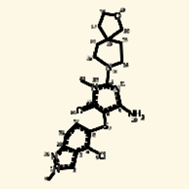 Cn1cc2c(Cl)c(Sc3c(N)nc(N4CCC5(CCOC5)CC4)n(C)c3=O)ccc2n1